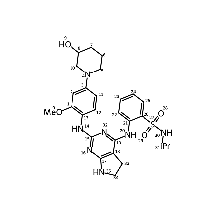 COc1cc(N2CCCC(O)C2)ccc1Nc1nc2c(c(Nc3ccccc3S(=O)(=O)NC(C)C)n1)CCN2